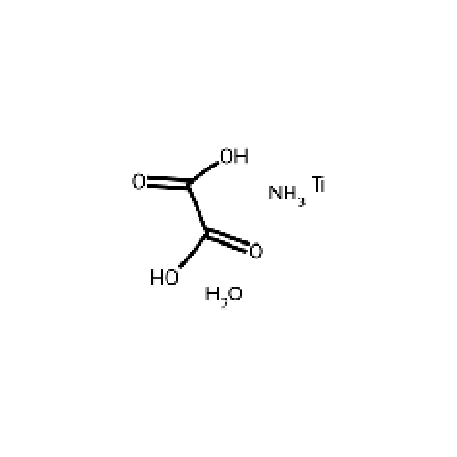 N.O.O=C(O)C(=O)O.[Ti]